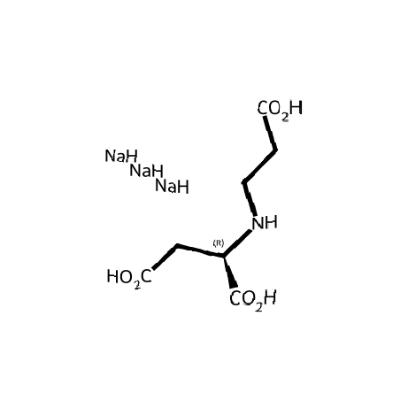 O=C(O)CCN[C@H](CC(=O)O)C(=O)O.[NaH].[NaH].[NaH]